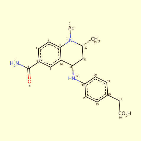 CC(=O)N1c2ccc(C(N)=O)cc2[C@@H](Nc2ccc(CC(=O)O)cc2)C[C@H]1C